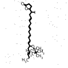 CCC=CCC(C=CC=CCC=CCC=CCC(I)C1CCC(=O)O1)O[Si](C)(C)C(C)(C)C